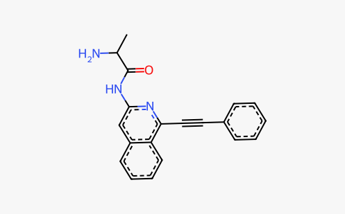 CC(N)C(=O)Nc1cc2ccccc2c(C#Cc2ccccc2)n1